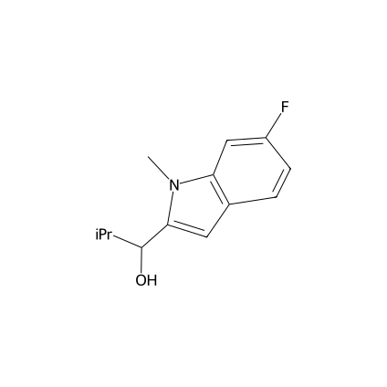 CC(C)C(O)c1cc2ccc(F)cc2n1C